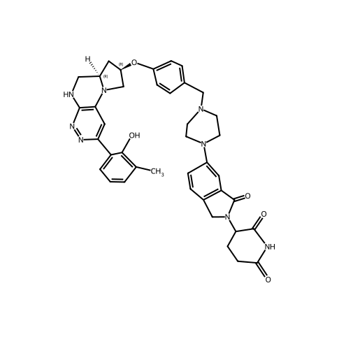 Cc1cccc(-c2cc3c(nn2)NC[C@H]2C[C@@H](Oc4ccc(CN5CCN(c6ccc7c(c6)C(=O)N(C6CCC(=O)NC6=O)C7)CC5)cc4)CN32)c1O